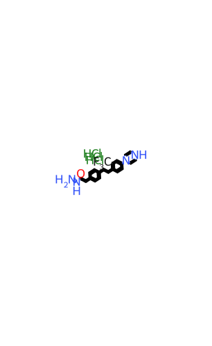 Cl.Cl.Cl.NNC(=O)Cc1ccc(CCc2ccc(N3CCNCC3)cc2C(F)(F)F)cc1